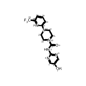 O=C(Nc1ncc(O)cn1)N1CCN(c2cccc(C(F)(F)F)n2)CC1